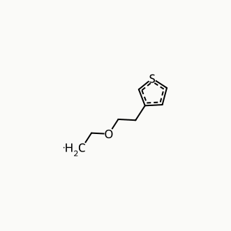 [CH2]COCCc1ccsc1